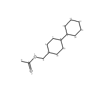 CC(=O)OCC1CCC(C2CCCCC2)CC1